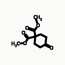 COC(=O)C1(C(=O)OC)CCC(=O)CC1